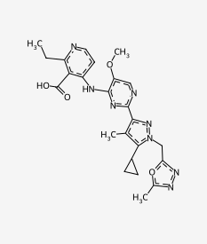 CCc1nccc(Nc2nc(-c3nn(Cc4nnc(C)o4)c(C4CC4)c3C)ncc2OC)c1C(=O)O